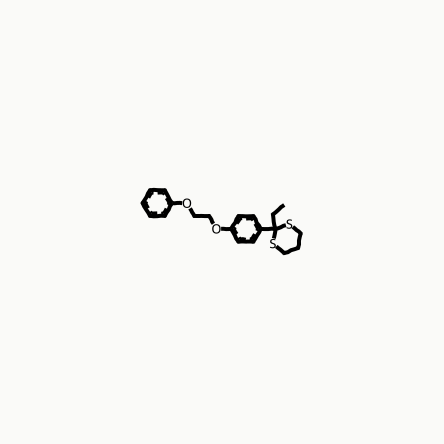 CCC1(c2ccc(OCCOc3ccccc3)cc2)SCCCS1